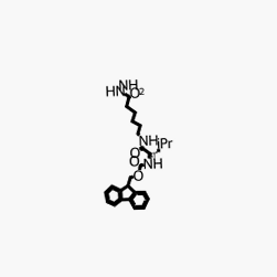 CC(C)C[C@H](NC(=O)OCC1c2ccccc2-c2ccccc21)C(=O)NCCCCCC(=O)NN